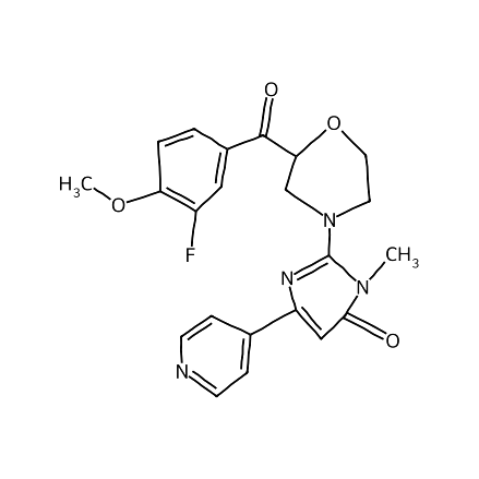 COc1ccc(C(=O)C2CN(c3nc(-c4ccncc4)cc(=O)n3C)CCO2)cc1F